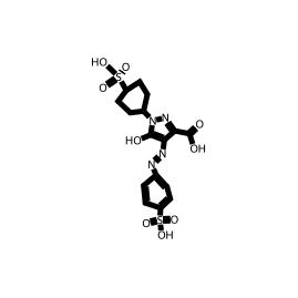 O=C(O)c1nn(C2CCC(S(=O)(=O)O)CC2)c(O)c1N=Nc1ccc(S(=O)(=O)O)cc1